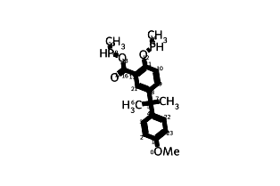 COc1ccc(C(C)(C)c2ccc(OPC)c(C(=O)OPC)c2)cc1